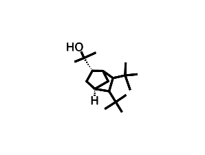 CC(C)(C)C1C2C[C@H](C[C@@H]2C(C)(C)O)C1C(C)(C)C